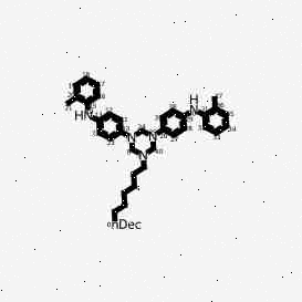 CCCCCCCCCCCCCCCCN1CN(c2ccc(Nc3ccccc3C)cc2)CN(c2ccc(Nc3ccccc3C)cc2)C1